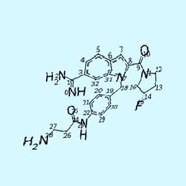 N=C(N)c1ccc2cc(C(=O)N3CC[C@H](F)C3)n(Cc3ccc(NC(=O)CCN)cc3)c2c1